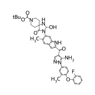 Cc1cc(-n2ncc(C(=O)c3cc4cc(C)c(N5C(=O)C6(CCN(C(=O)OC(C)(C)C)CC6)NC5O)cc4[nH]3)c2N)ccc1Oc1ccccc1F